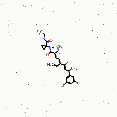 C=CC(=C\C=C(/CC(F)(F)F)C(=O)NC1(C(=O)NCC(F)(F)F)CC1)/C(F)=C/C(c1cc(Cl)cc(Cl)c1)C(F)(F)F